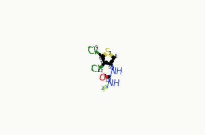 O=C(NF)Nc1csc(Cl)c1Cl